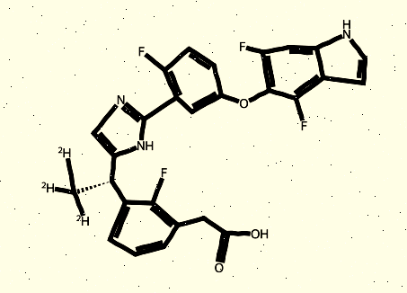 [2H]C([2H])([2H])[C@H](c1cnc(-c2cc(Oc3c(F)cc4[nH]ccc4c3F)ccc2F)[nH]1)c1cccc(CC(=O)O)c1F